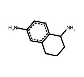 Nc1ccc2c(c1)CCCC2N